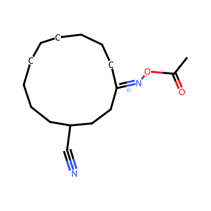 CC(=O)O/N=C1\CCCCCCCCCC(C#N)CC1